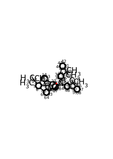 CC(C)(C)c1ccc2c(c1)C1(C3=C(C=C=C=C3)C3=C1CC#CC=C3)c1c(-c3ccc(N(c4ccc5c(c4)C(C)(C)c4ccccc4-5)c4ccc5c(c4)C(C)(C)c4ccccc4-5)cc3)cccc1-2